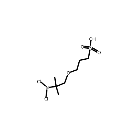 CC(C)(COCCCS(=O)(=O)O)N(Cl)Cl